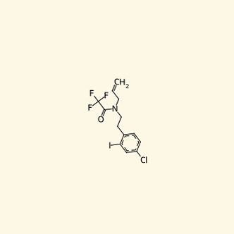 C=CCN(CCc1ccc(Cl)cc1I)C(=O)C(F)(F)F